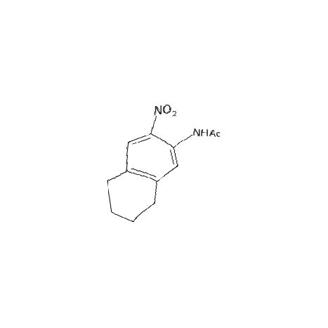 CC(=O)Nc1cc2c(cc1[N+](=O)[O-])CCCC2